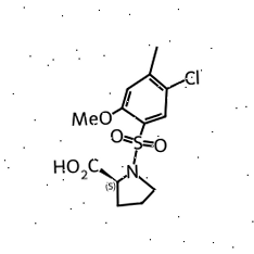 COc1cc(C)c(Cl)cc1S(=O)(=O)N1CCC[C@H]1C(=O)O